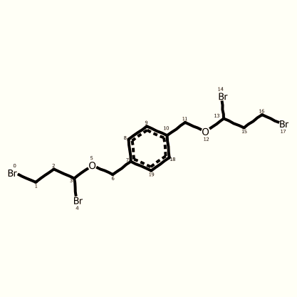 BrCCC(Br)OCc1ccc(COC(Br)CCBr)cc1